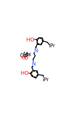 CC(=O)[O-].CC(=O)[O-].CC(C)Cc1ccc(O)c(C=NCCCN=Cc2cc(CC(C)C)ccc2O)c1.[Co+2]